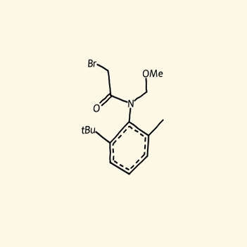 COCN(C(=O)CBr)c1c(C)cccc1C(C)(C)C